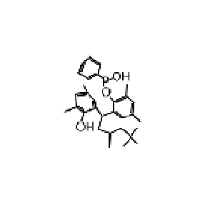 Cc1cc(C)c(O)c(C(CC(C)CC(C)(C)C)c2cc(C)cc(C)c2OP(O)c2ccccc2)c1